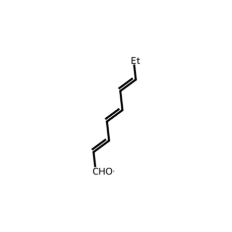 CC/C=C/C=C/C=C/[C]=O